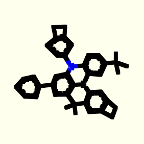 CC(C)(C)c1ccc2c(c1)B1c3cc4c(cc3C(C)(C)c3cc(-c5ccccc5)cc(c31)N2c1ccc2c(c1)CC2)CC4